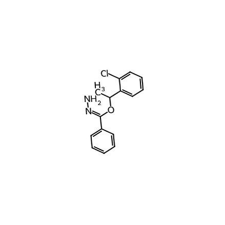 CC(O/C(=N\N)c1ccccc1)c1ccccc1Cl